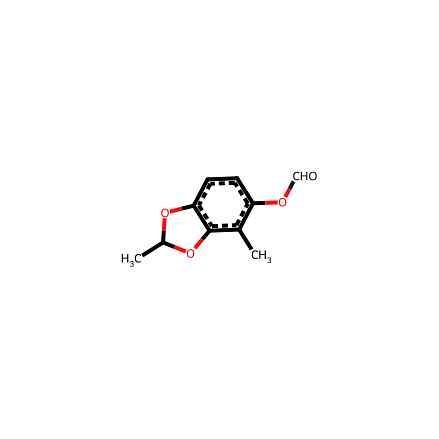 Cc1c(OC=O)ccc2c1OC(C)O2